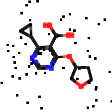 OB(O)c1c(OC2CCOC2)ncnc1C1CC1